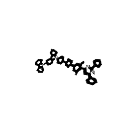 Cc1cc(-c2ccc(-c3ccc(-n4c5ccccc5c5cc(-n6c7ccccc7c7ccccc76)ccc54)cc3)cc2)cc(C)c1-c1cc(-c2ccccc2)nc(-c2ccccc2)n1